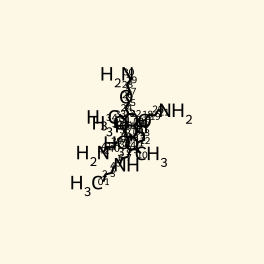 CCCCCNCCCC(C)C1CC[C@H]2C3[C@H](OCCCN)CC(CCOCCCN)[C@](C)(CC)[C@H]3C[C@H](OCCCN)[C@]12C